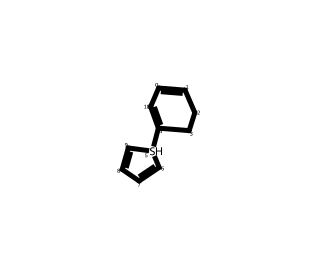 C1=CCCC([SH]2C=CC=C2)=C1